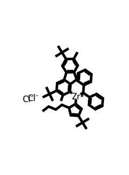 CCCCC1C=C(C(C)(C)C)C=[C]1[Zr+2](=[C](c1ccccc1)c1ccccc1)[c]1c(C)c(C(C)(C)C)cc2c1Cc1cc(C)c(C(C)(C)C)cc1-2.[Cl-].[Cl-]